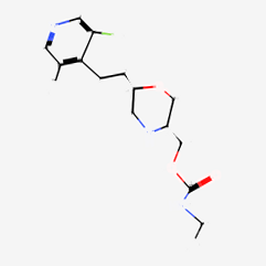 Cc1cncc(F)c1CC[C@@H]1CN[C@H](COC(=O)NCC(F)(F)F)CO1